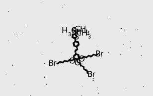 [CH3][Sn]([CH3])([CH3])[c]1ccc(-c2ccc(/C=C/c3cc(OCCCCCCBr)c(OCCCCCCBr)c(OCCCCCCBr)c3)cc2)s1